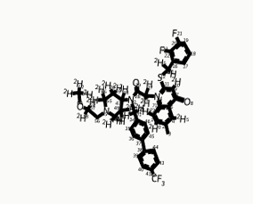 [2H]c1c(C)c([2H])c2c(=O)c([2H])c(SC([2H])([2H])c3cccc(F)c3F)n(C([2H])([2H])C(=O)N(C([2H])([2H])c3ccc(-c4ccc(C(F)(F)F)cc4)cc3)C3([2H])C([2H])([2H])C([2H])([2H])N(CC([2H])([2H])OC([2H])([2H])[2H])C([2H])([2H])C3([2H])[2H])c2c1[2H]